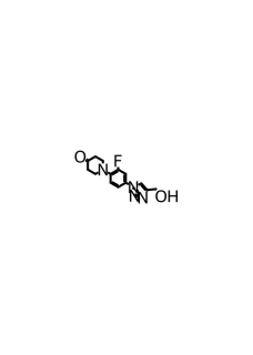 O=C1CCN(c2ccc(-n3cc(CO)nn3)cc2F)CC1